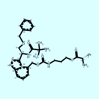 CC(C)[C@H](N)C(=O)OCCCNC(=O)OCc1cccc2nnc([C@@H](COCc3ccccc3)NC(=O)C(C)(C)N)n12